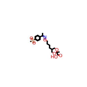 CC(=NOCCCCC1COC(C)(C(=O)O)OC1)c1ccc(S(C)(=O)=O)cc1